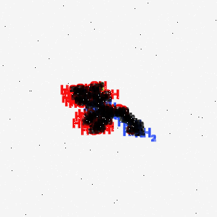 CSSC[C@H](NC(=O)[C@H](CCC(=O)NC[C@H](O)[C@@H](O)[C@H](O)[C@H](O)CO)NC(=O)[C@H](CCC(=O)O)NC(=O)[C@H](CCC(=O)NC[C@H](O)[C@@H](O)[C@H](O)[C@H](O)CO)NC(=O)[C@H](CCC(=O)NC[C@H](O)[C@@H](O)[C@H](O)[C@H](O)CO)NC(=O)[C@H](CCC(=O)O)NC(=O)[C@H](CCC(=O)NC[C@H](O)[C@@H](O)[C@H](O)[C@H](O)CO)NC(=O)CC[C@H](NC(=O)c1ccc(NCc2cnc3nc(N)[nH]c(=O)c3n2)cc1)C(=O)O)C(=O)O